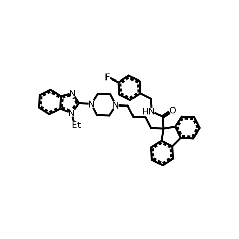 CCn1c(N2CCN(CCCCC3(C(=O)NCc4ccc(F)cc4)c4ccccc4-c4ccccc43)CC2)nc2ccccc21